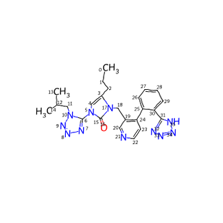 CCCc1cn(-c2nnnn2CC(C)C)c(=O)n1Cc1cnccc1-c1ccccc1-c1nnn[nH]1